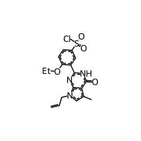 C=CCn1cc(C)c2c(=O)[nH]c(-c3cc(S(=O)(=O)Cl)ccc3OCC)nc21